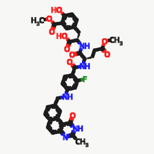 COC(=O)CC[C@H](NC(=O)c1ccc(NCc2ccc3ccc4nc(C)[nH]c(=O)c4c3c2)cc1F)C(=O)N[C@@H](Cc1ccc(O)c(C(=O)OC)c1)C(=O)O